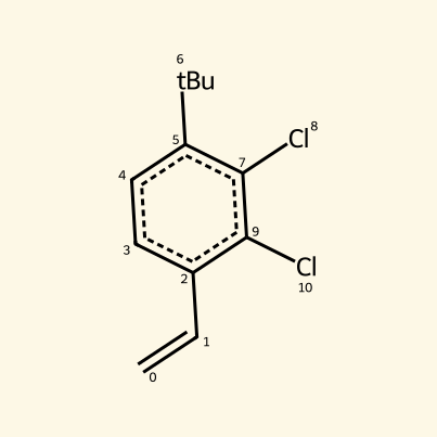 C=Cc1ccc(C(C)(C)C)c(Cl)c1Cl